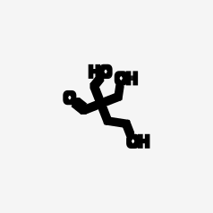 O=CC(CO)(CO)CCO